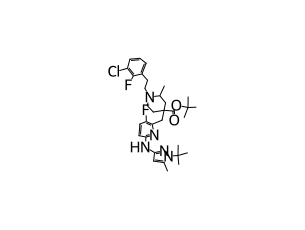 Cc1cc(Nc2ccc(F)c(CC3(C(=O)OC(C)(C)C)CCN(CCc4cccc(Cl)c4F)C(C)C3)n2)nn1C(C)(C)C